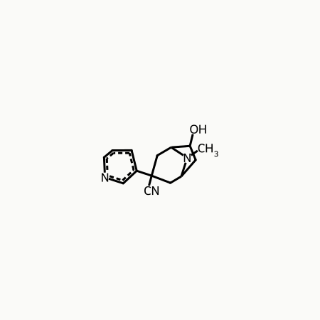 CN1C2CC(O)C1CC(C#N)(c1cccnc1)C2